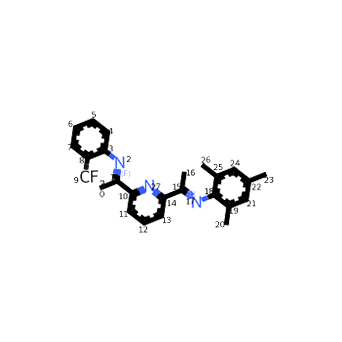 C/C(=N\c1ccccc1C(F)(F)F)c1cccc(/C(C)=N/c2c(C)cc(C)cc2C)n1